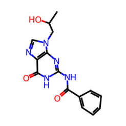 CC(O)Cn1cnc2c(=O)[nH]c(NC(=O)c3ccccc3)nc21